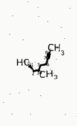 C#CC[C](C)CCC#CC